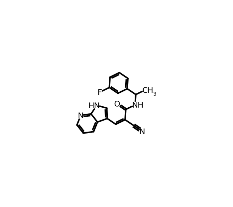 CC(NC(=O)C(C#N)=Cc1c[nH]c2ncccc12)c1cccc(F)c1